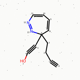 C#CCCC1(C#CO)C=CC=CN=N1